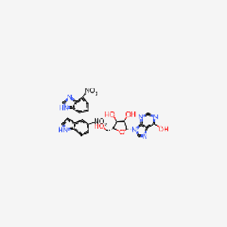 O=[N+]([O-])c1ccc2[nH]ccc2c1.O=[N+]([O-])c1cccc2[nH]cnc12.OC[C@H]1O[C@@H](n2cnc3c(O)ncnc32)[C@H](O)[C@@H]1O